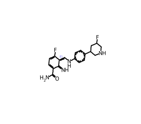 N=C1C(C(N)=O)=CC=C(F)/C1=C/Nc1ccc(C2CNCC(F)C2)cc1